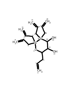 C=CCC1O[Si](CC=C)(CC=C)[Si](CC=C)(CC=C)C(O)C1O